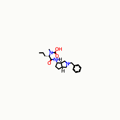 CCC[C@@H](C(=O)N[C@@H]1CC[C@H]2CN(Cc3ccccc3)C[C@H]21)N(C)C(=O)O